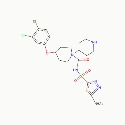 CC(=O)Nc1nnc(S(=O)(=O)NC(=O)[N+]2(C3CCNCC3)CCC(Oc3ccc(Cl)c(Cl)c3)CC2)s1